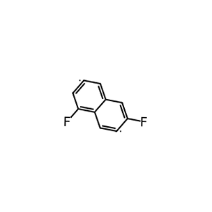 Fc1[c]cc2c(F)c[c]cc2c1